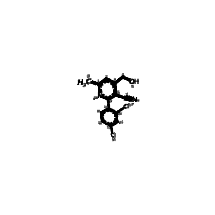 Cc1cc(CO)c(C#N)c(-c2ccc(Cl)cc2Cl)n1